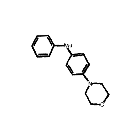 c1ccc(Nc2ccc(N3CCOCC3)cc2)cc1